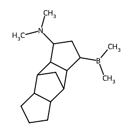 CB(C)C1CC(N(C)C)C2C3CC(C4CCCC43)C12